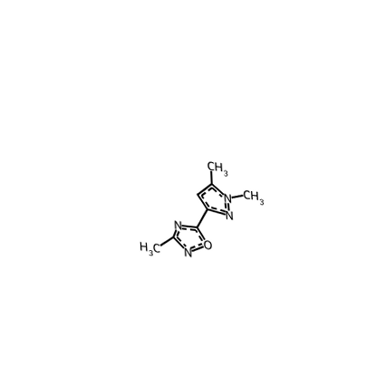 Cc1noc(-c2cc(C)n(C)n2)n1